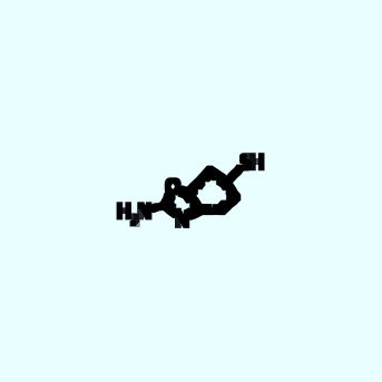 Nc1nc2ccc(S)cc2o1